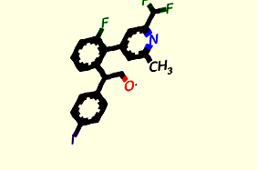 Cc1cc(-c2c(F)cccc2C(C[O])c2ccc(I)cc2)cc(C(F)F)n1